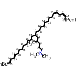 C=C(CCCN(C)C)CC(CCCCCCCC/C=C\C/C=C\CCCCC)CCCCCCCC/C=C/C=C/CCCC